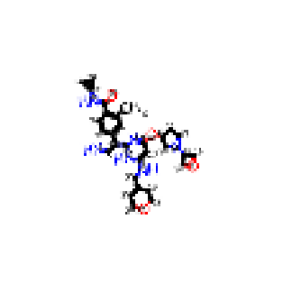 Cc1cc(/C(C=N)=C2\N=C(OC3CCN(C4COC4)C3)C=C(NCC3CCOCC3)N2)ccc1C(=O)NC1CC1